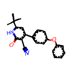 CC(C)(C)c1cc(-c2ccc(Oc3ccccc3)cc2)c(C#N)c(=O)[nH]1